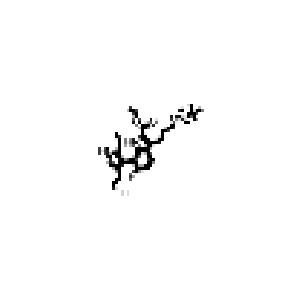 CCOC(=O)c1[nH]c2c(-c3c(CCO)n[nH]c3CC)c(F)ccc2c1CCCO[Si](C)(C)C(C)(C)C